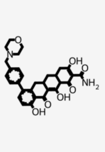 NC(=O)C1=C(O)CC2CC3Cc4c(-c5ccc(CN6CCOCC6)cc5)ccc(O)c4C(=O)C3=C(O)C2C1=O